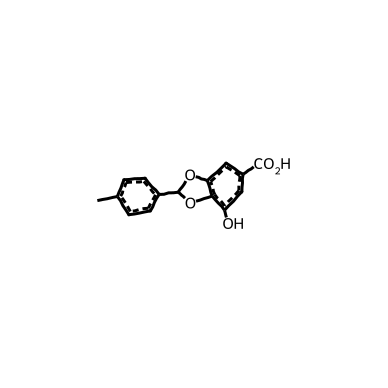 Cc1ccc(C2Oc3cc(C(=O)O)cc(O)c3O2)cc1